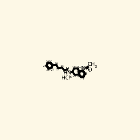 CC(=O)Nc1cccc2c1CCC(NCCCCCc1ccccc1)C2.Cl